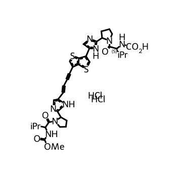 COC(=O)NC(C(=O)N1CCCC1c1ncc(C#CC#Cc2csc3c(-c4cnc(C5CCCN5C(=O)[C@@H](NC(=O)O)C(C)C)[nH]4)csc23)[nH]1)C(C)C.Cl.Cl